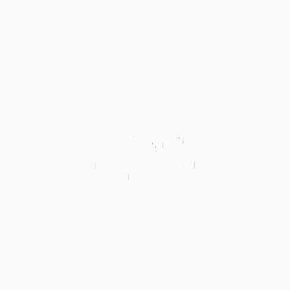 CC(C)(C)OC(=O)NC1CCCCC1NC(=O)O